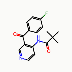 CC(C)(C)C(=O)Nc1ccncc1C(=O)c1ccc(F)cc1